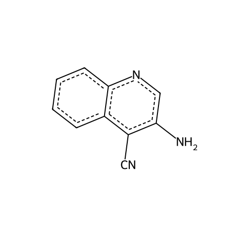 N#Cc1c(N)cnc2ccccc12